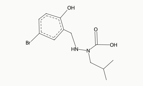 CC(C)CN(NCc1cc(Br)ccc1O)C(=O)O